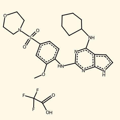 COc1cc(S(=O)(=O)N2CCOCC2)ccc1Nc1nc(NC2CCCCC2)c2cc[nH]c2n1.O=C(O)C(F)(F)F